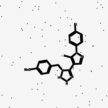 CCc1ccc(-n2ncc(C3=NNNN3Cc3ccc(OC)cc3)c2I)cc1